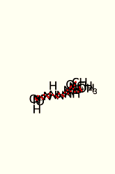 C=CCn1c(=O)c2cnc(Nc3ccc(N4CCC(CNC5CCN(c6ccc([C@H]7CCC(=O)NC7=O)cc6)CC5)CC4)cc3)nc2n1-c1ccc2c(n1)[C@@](O)(CC)CC2